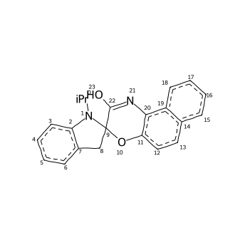 CC(C)N1c2ccccc2CC12Oc1ccc3ccccc3c1N=C2O